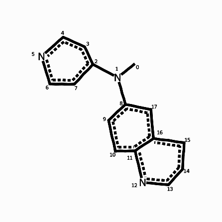 CN(c1ccncc1)c1ccc2ncccc2c1